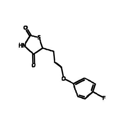 O=C1NC(=O)C(CCCOc2ccc(F)cc2)S1